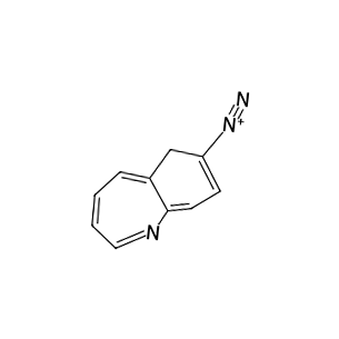 N#[N+]C1=CC=C2N=CC=CC=C2C1